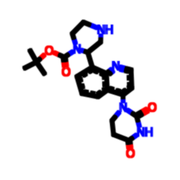 CC(C)(C)OC(=O)N1CCNCC1c1cccc2c(N3CCC(=O)NC3=O)ccnc12